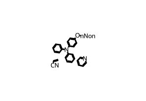 C=CC#N.CCCCCCCCCOc1ccc(N(c2ccccc2)c2ccccc2)cc1.c1ccncc1